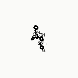 CCc1ccc(C(=O)Nc2ccc(O)c(-c3cc(C4CCC4)n(C(=O)NCc4ccccc4)n3)c2)cc1